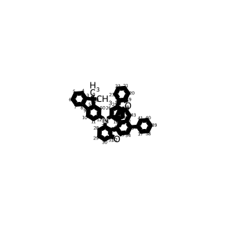 CC1(C)c2ccccc2-c2ccc(N(c3ccc4oc5ccccc5c4c3)c3cccc4oc5cc(-c6ccccc6)c6ccccc6c5c34)cc21